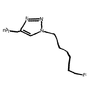 CCCc1cn(CCCCC(C)C)nn1